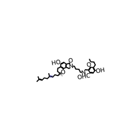 CC(C)=CCC/C(C)=C/CC[C@@]1(C)CCc2c(O)cc3c(c2O1)CN(CCCCN(C)Cc1c(C=O)cc(O)c2c1OC(C)CC2)C3=O